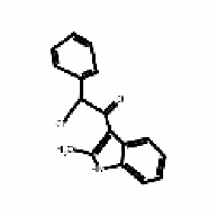 Cc1[nH]c2ccccc2c1C(=O)C(Cl)c1ccccc1